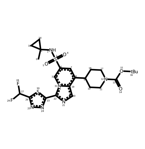 CC1(NS(=O)(=O)c2cc(C3CCN(C(=O)OC(C)(C)C)CC3)c3cnc(-c4nnc(C(F)F)s4)n3c2)CC1